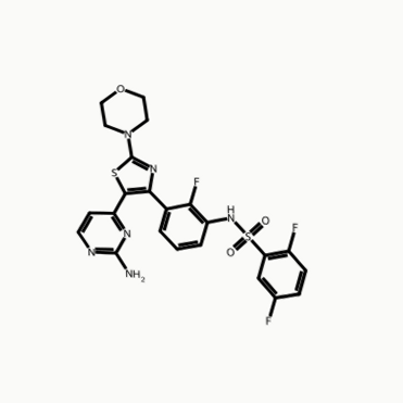 Nc1nccc(-c2sc(N3CCOCC3)nc2-c2cccc(NS(=O)(=O)c3cc(F)ccc3F)c2F)n1